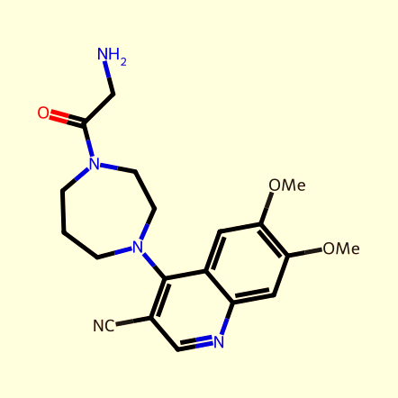 COc1cc2ncc(C#N)c(N3CCCN(C(=O)CN)CC3)c2cc1OC